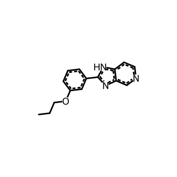 CCCOc1cccc(-c2nc3cnccc3[nH]2)c1